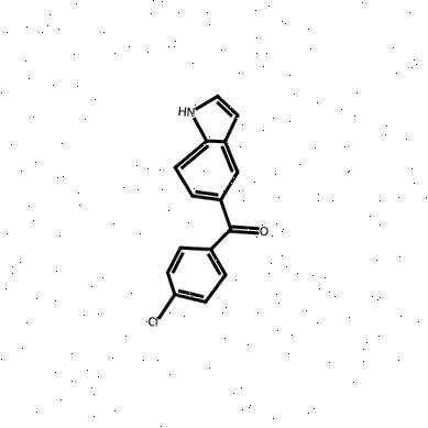 O=C(c1ccc(Cl)cc1)c1ccc2[nH]ccc2c1